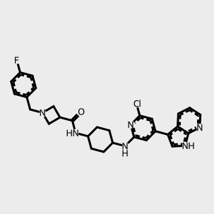 O=C(NC1CCC(Nc2cc(-c3c[nH]c4ncccc34)cc(Cl)n2)CC1)C1CN(Cc2ccc(F)cc2)C1